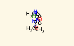 C=C(/C=C/c1cncc(N(Cc2cccc3cc4cnn(C)c4c(Cl)c23)C(=O)C2CCCCC2)c1)OC